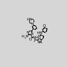 C[C@@H](NC(=O)c1nc(-c2cccc(N3CCNCC3)c2)cnc1N)c1nnc2ccc(Nc3cccc(Cl)c3)nn12